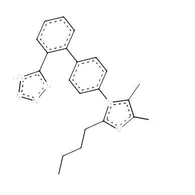 CCCCc1nc(Cl)c(C)n1-c1ccc(-c2ccccc2-c2nnn[nH]2)cc1